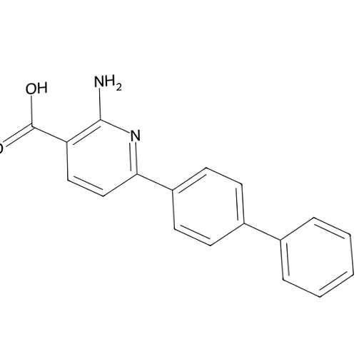 Nc1nc(-c2ccc(-c3ccccc3)cc2)ccc1C(=O)O